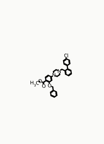 COC(=O)c1ccc(N2CCN(Cc3ccccc3-c3ccc(Cl)cc3)CC2)cc1OCc1ccccc1